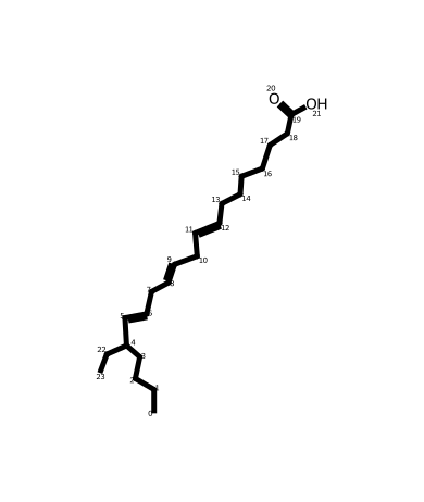 CCCCC(/C=C/C/C=C/C/C=C/CCCCCCC(=O)O)CC